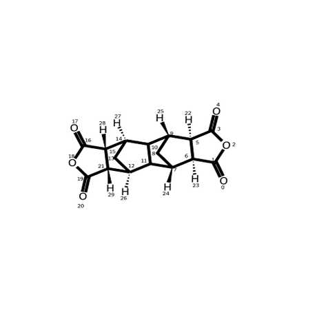 O=C1OC(=O)[C@H]2[C@@H]1[C@H]1C[C@@H]2C2C1[C@@H]1C[C@H]2[C@H]2C(=O)OC(=O)[C@H]21